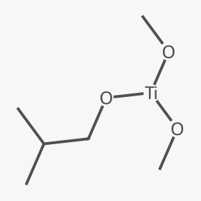 C[O][Ti]([O]C)[O]CC(C)C